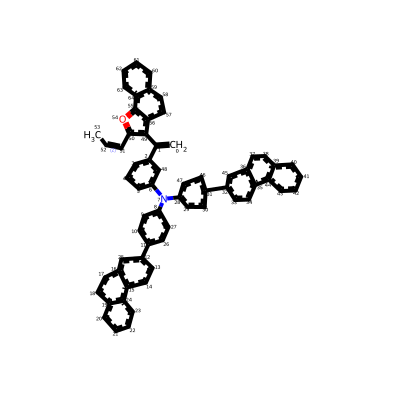 C=C(c1cccc(N(c2ccc(-c3ccc4c(ccc5ccccc54)c3)cc2)c2ccc(-c3ccc4c(ccc5ccccc54)c3)cc2)c1)c1c(/C=C\C)oc2c1ccc1ccccc12